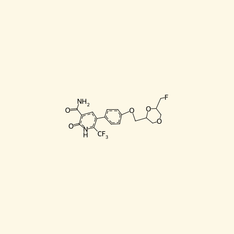 NC(=O)c1cc(-c2ccc(OCC3COCC(CF)O3)cc2)c(C(F)(F)F)[nH]c1=O